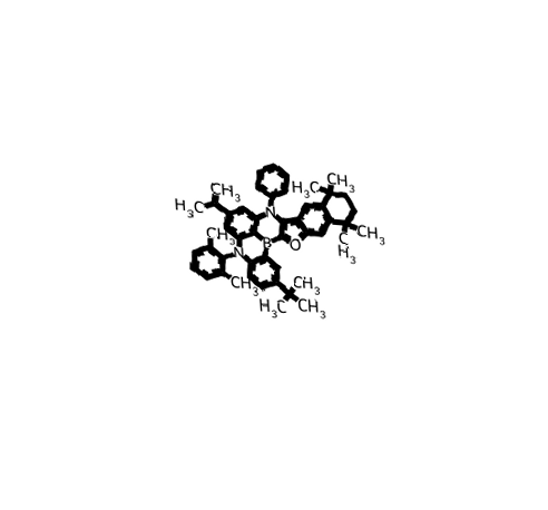 Cc1cccc(C)c1N1c2ccc(C(C)(C)C)cc2B2c3oc4cc5c(cc4c3N(c3ccccc3)c3cc(C(C)C)cc1c32)C(C)(C)CCC5(C)C